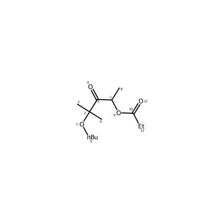 CCCCOC(C)(C)C(=O)C(C)OC(=O)CC